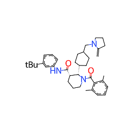 C=C1CCCN1CC1CCC([C@H]2[C@@H](C(=O)Nc3cccc(C(C)(C)C)c3)CCCN2C(=O)c2c(C)cccc2C)CC1